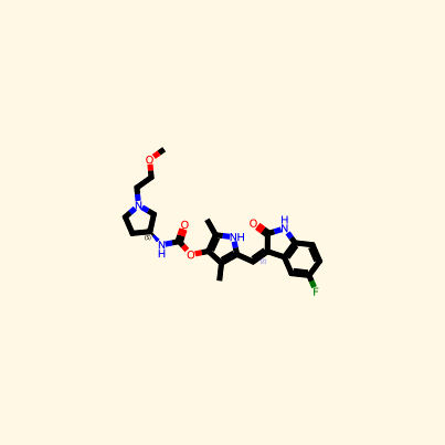 COCCN1CC[C@H](NC(=O)Oc2c(C)[nH]c(/C=C3\C(=O)Nc4ccc(F)cc43)c2C)C1